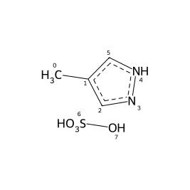 Cc1cn[nH]c1.O=S(=O)(O)O